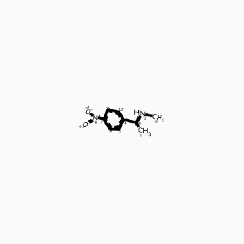 CNC(C)c1ccc([N+](=O)[O-])cc1